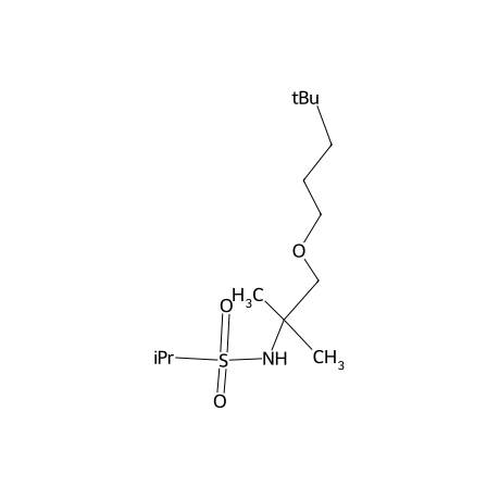 CC(C)S(=O)(=O)NC(C)(C)COCCCC(C)(C)C